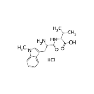 CC(C)C(NC(=O)C(N)Cc1cn(C)c2ccccc12)C(=O)O.Cl